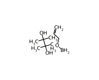 BOCC=C.CC(C)(O)C(C)(C)O